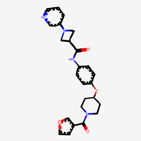 O=C(Nc1ccc(OC2CCN(C(=O)c3ccoc3)CC2)cc1)C1CN(c2cccnc2)C1